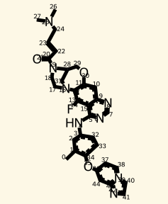 Cc1cc(Nc2ncnc3cc4c(c(F)c23)N2CCN(C(=O)/C=C/CN(C)C)C(CO4)C2)ccc1Oc1ccn2ccnc2c1